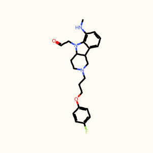 CNc1cccc2c1N(CC=O)C1CCN(CCCOc3ccc(F)cc3)CC21